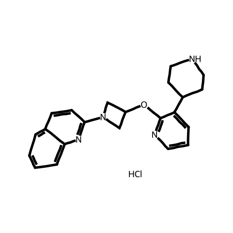 Cl.c1cnc(OC2CN(c3ccc4ccccc4n3)C2)c(C2CCNCC2)c1